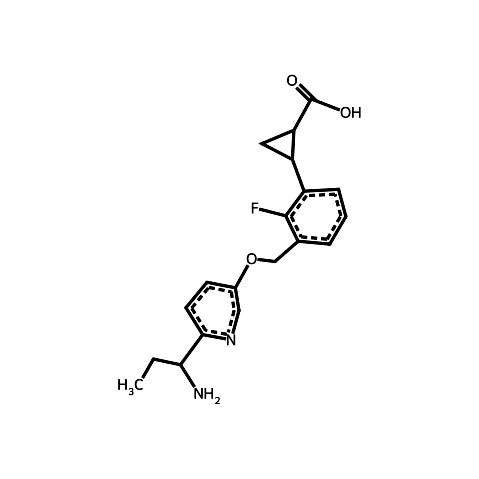 CCC(N)c1ccc(OCc2cccc(C3CC3C(=O)O)c2F)cn1